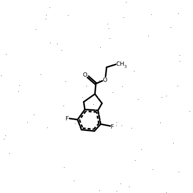 CCOC(=O)C1Cc2c(F)ccc(F)c2C1